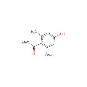 COC(=O)c1c(C)cc(O)cc1OC